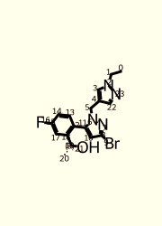 CCn1cc(Cn2nc(Br)cc2-c2ccc(F)cc2[C@@H](C)O)cn1